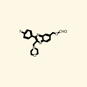 O=COCc1ccc2nc(CN3CCOCC3)c(-c3ccc(F)cc3)nc2c1